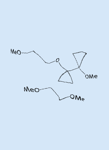 COCCOC.COCCOC1(C2(OC)CC2)CC1